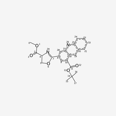 COC(=O)C1COC(c2cc(C(=O)OC(C)(C)C)c3cc4ccccc4nc3c2)=N1